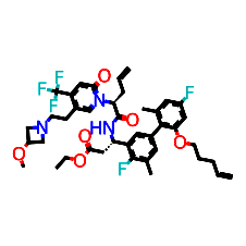 C=CCCCOc1cc(F)cc(C)c1-c1cc(C)c(F)c([C@H](CC(=O)OCC)NC(=O)[C@H](CC=C)n2cc(CCN3CC(OC)C3)c(C(F)(F)F)cc2=O)c1